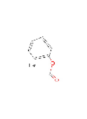 O=COc1ccccc1.[La]